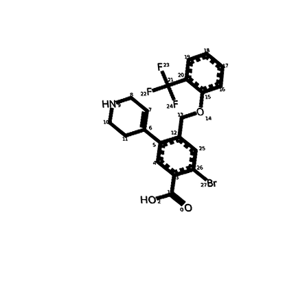 O=C(O)c1cc(C2=CCNCC2)c(COc2ccccc2C(F)(F)F)cc1Br